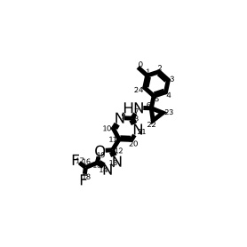 Cc1cccc(C2(Nc3ncc(-c4nnc(C(F)F)o4)cn3)CC2)c1